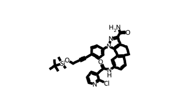 CC(C)(C)[Si](C)(C)OCC#Cc1ccc(-n2nc(C(N)=O)c3c2-c2cc(NC(=O)c4cccnc4Cl)ccc2CC3)cc1